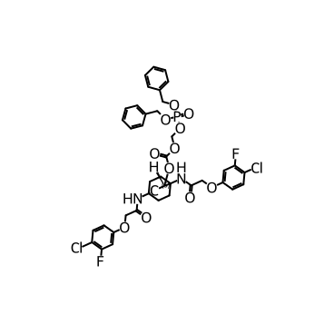 O=C(COc1ccc(Cl)c(F)c1)NC12CCC(NC(=O)COc3ccc(Cl)c(F)c3)(CC1)[C@@H](OC(=O)OCOP(=O)(OCc1ccccc1)OCc1ccccc1)C2